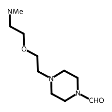 CNCCOCCN1CCN(C=O)CC1